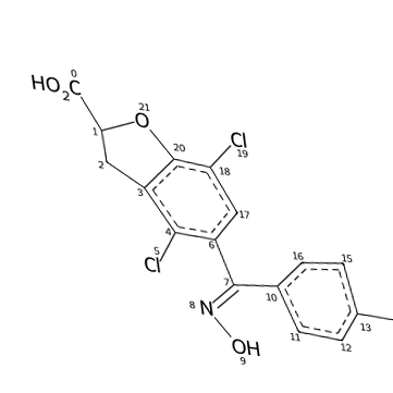 O=C(O)C1Cc2c(Cl)c(C(=NO)c3ccc(Cl)cc3)cc(Cl)c2O1